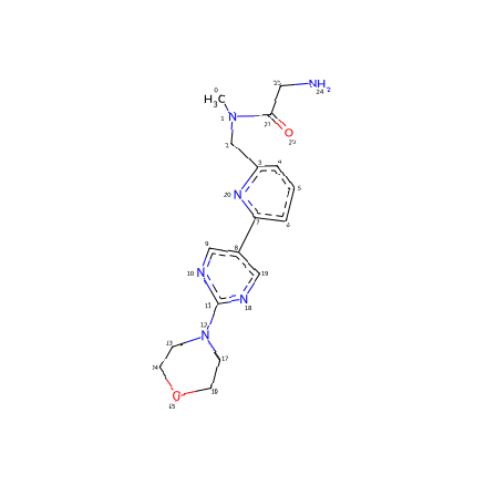 CN(Cc1cccc(-c2cnc(N3CCOCC3)nc2)n1)C(=O)CN